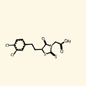 O=C(O)CN1C(=O)C(CCc2ccc(Cl)c(Cl)c2)SC1=S